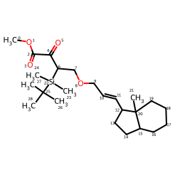 COC(=O)C(=O)C(COCC=CC1CCC2CCCCC12C)[Si](C)(C)C(C)(C)C